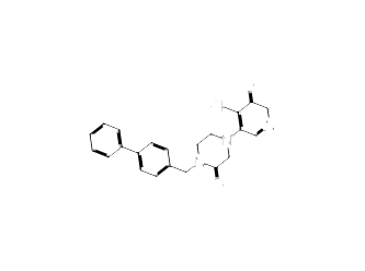 O=C1CN=CC(N2CCN(Cc3ccc(-c4ccccc4)cc3)C(=O)C2)=C1Cl